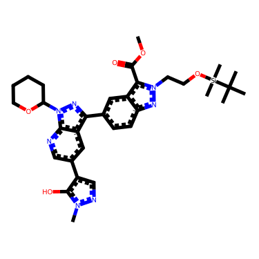 COC(=O)c1c2cc(-c3nn(C4CCCCO4)c4ncc(-c5cnn(C)c5O)cc34)ccc2nn1CCO[Si](C)(C)C(C)(C)C